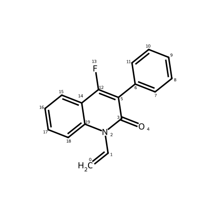 C=Cn1c(=O)c(-c2ccccc2)c(F)c2ccccc21